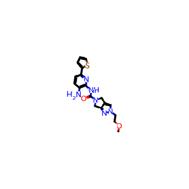 COCCn1cc2c(n1)CN(C(=O)Nc1nc(-c3cccs3)ccc1N)C2